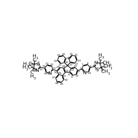 CC1(C)N=C(c2ccc(-c3ccc4c(c3)C(c3ccccc3)(c3ccccc3)c3cc(-c5ccc(C6=NC(C)(C)C(C)(C)S6)cn5)c5ccccc5c3-4)nc2)SC1(C)C